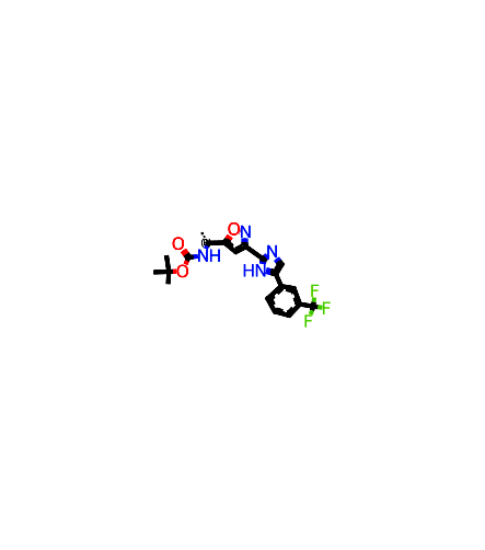 C[C@@H](NC(=O)OC(C)(C)C)c1cc(-c2ncc(-c3cccc(C(F)(F)F)c3)[nH]2)no1